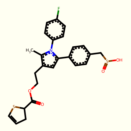 Cc1c(CCOC(=O)C2CC=CS2)cc(-c2ccc(CS(=O)O)cc2)n1-c1ccc(F)cc1